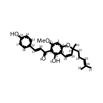 COc1cc2c(c(O)c1C(=O)C=Cc1ccc(O)cc1)C=CC(C)(CCC=C(C)C)O2